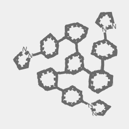 c1ccc(-c2cc(-c3ccccc3-c3ccc(-n4cccn4)cc3)cc(-c3ccccc3-c3ccc(-n4cccn4)cc3)c2)c(-c2ccc(-n3cccn3)cc2)c1